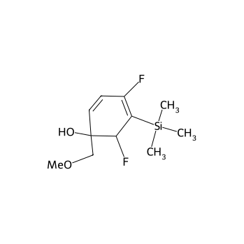 COCC1(O)C=CC(F)=C([Si](C)(C)C)C1F